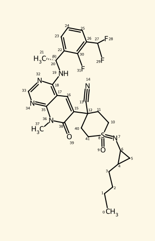 CCCCC1CC1N=S1(=O)CCC(C#N)(c2cc3c(N[C@H](C)c4cccc(C(F)F)c4F)ncnc3n(C)c2=O)CC1